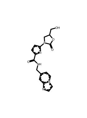 O=C(NCc1ccn2ccnc2c1)c1ccc(N2CC(CO)OC2=O)s1